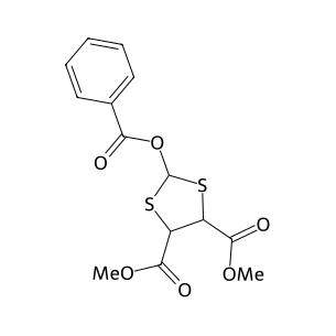 COC(=O)C1SC(OC(=O)c2ccccc2)SC1C(=O)OC